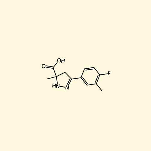 Cc1cc(C2=NNC(C)(C(=O)O)C2)ccc1F